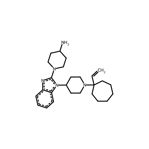 C=CC1(N2CCC(n3c(N4CCC(N)CC4)nc4ccccc43)CC2)CCCCCC1